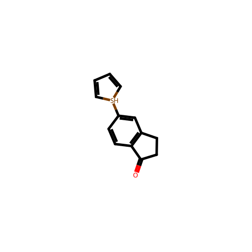 O=C1CCc2cc([SH]3C=CC=C3)ccc21